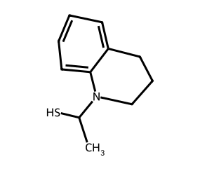 CC(S)N1CCCc2ccccc21